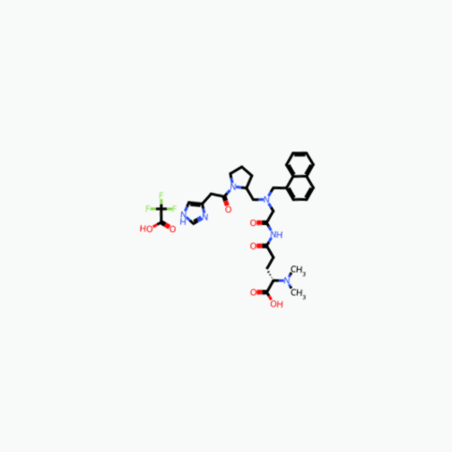 CN(C)[C@@H](CCC(=O)NC(=O)CN(Cc1cccc2ccccc12)CC1CCCN1C(=O)Cc1c[nH]cn1)C(=O)O.O=C(O)C(F)(F)F